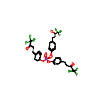 O=C(CCc1ccc(OP(=O)(Oc2ccc(CCC(=O)C(F)(F)F)cc2)Oc2ccc(CCC(=O)C(F)(F)F)cc2)cc1)C(F)(F)F